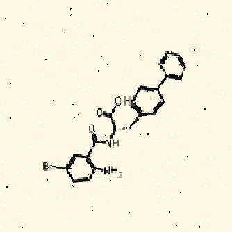 Nc1ccc(Br)cc1C(=O)N[C@@H](Cc1ccc(-c2ccccc2)cc1)C(=O)O